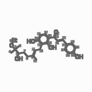 CCOC(C)(C)C(O)CC/C(C)=C/Cc1c(O)ccc(C(=O)/C=C/c2ccc(O)cc2)c1O